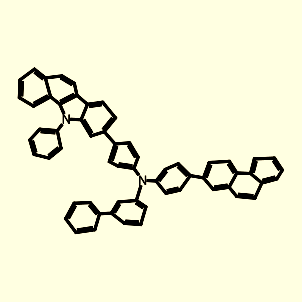 c1ccc(-c2cccc(N(c3ccc(-c4ccc5c(ccc6ccccc65)c4)cc3)c3ccc(-c4ccc5c6ccc7ccccc7c6n(-c6ccccc6)c5c4)cc3)c2)cc1